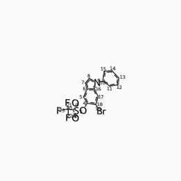 O=S(=O)(Oc1cc2ccn(-c3ccccc3)c2cc1Br)C(F)(F)F